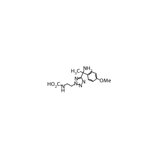 COc1ccc(C(C)(N)c2nnn(CCNC(=O)O)n2)cc1